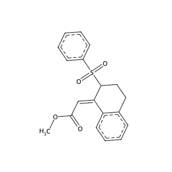 COC(=O)C=C1c2ccccc2CCC1S(=O)(=O)c1ccccc1